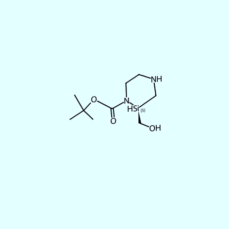 CC(C)(C)OC(=O)N1CCNC[Si@H]1CO